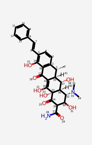 C[C@H]1c2ccc(/C=C/c3ccccc3)c(O)c2C(=O)C2=C(O)[C@]3(O)C(=O)C(C(N)=O)C(O)[C@@H](N(C)C)[C@@H]3[C@@H](O)[C@@H]21